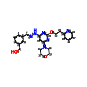 OCc1cccc(/C=N/Nc2cc(N3CCOCC3)nc(OCCc3ccccn3)n2)c1